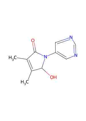 CC1=C(C)C(O)N(c2cncnc2)C1=O